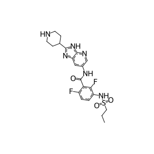 CCCS(=O)(=O)Nc1ccc(F)c(C(=O)Nc2cnc3[nH]c(C4CCNCC4)nc3c2)c1F